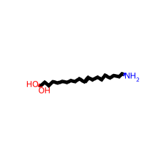 NCCCCCCCCC=CCCCCCCCCCC(O)O